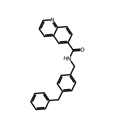 O=C(NCc1ccc(Cc2ccccc2)cc1)c1ccc2ncccc2c1